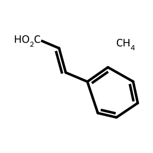 C.O=C(O)C=Cc1ccccc1